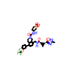 Cc1noc([C@@H]2C[C@@H]2C(=O)NCc2ccc(-c3cccc(OC(F)(F)F)c3)c3c2CN(C(=O)NC2CCS(=O)(=O)C2)CC3)n1